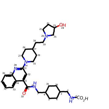 O=C(O)NCC1CCC(CNC(=O)c2cc(N3CCC(CCN4CCC(O)C4)CC3)nc3ccccc23)CC1